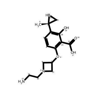 C[C@@]1(c2ccc(OC3CN(CCN)C3)c(C(=O)O)c2O)BC1